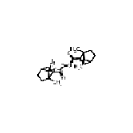 CC1(C)C2CCC1(C)C(C(=O)OOC(=O)C1CC3CCC1(C)C3(C)C)C2